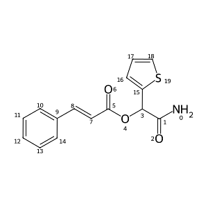 NC(=O)C(OC(=O)C=Cc1ccccc1)c1cccs1